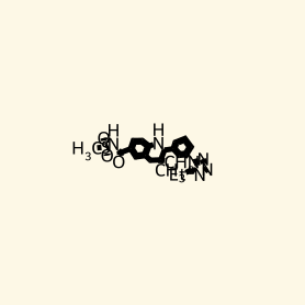 CCc1nnnn1-c1cccc(C2Nc3ccc(C(=O)NS(C)(=O)=O)cc3CC2(C)C)c1